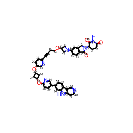 O=C1CCC(N2Cc3cc(N4CC(OCCC#Cc5ccc(O[C@H]6C[C@H](Oc7ccc(-c8ccc9c(c8)[nH]c8ccncc89)cn7)C6)cn5)C4)ccc3C2=O)C(=O)N1